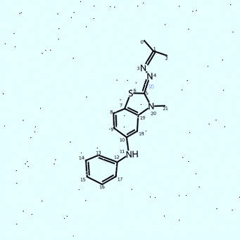 CC(C)=N/N=c1\sc2ccc(Nc3ccccc3)cc2n1C